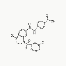 O=C(O)c1ccc(NC(=O)c2ccc3c(c2)N(S(=O)(=O)c2cccc(Cl)c2)CC[S+]3[O-])cc1